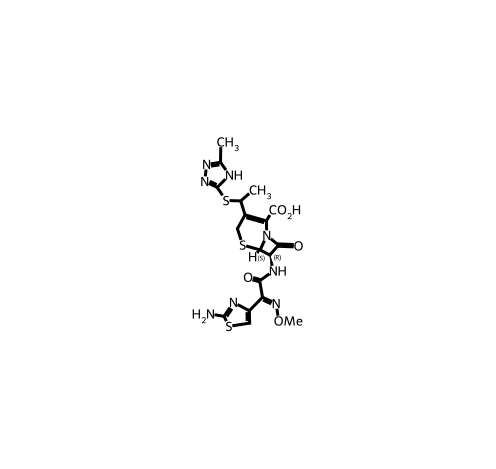 CON=C(C(=O)N[C@@H]1C(=O)N2C(C(=O)O)=C(C(C)Sc3nnc(C)[nH]3)CS[C@@H]12)c1csc(N)n1